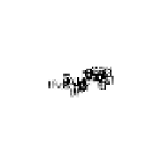 CC(C)(C)OC(=O)NCc1cc(C2=NOC(c3cc(Cl)c(Cl)c(Cl)c3)(C(F)(F)F)C2)ccc1Br